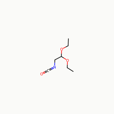 CCOC(CN=C=O)OCC